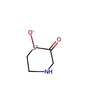 O=C1CNCC[S+]1[O-]